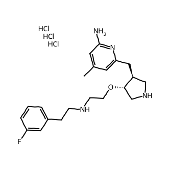 Cc1cc(N)nc(C[C@H]2CNC[C@@H]2OCCNCCc2cccc(F)c2)c1.Cl.Cl.Cl